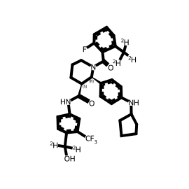 [2H]C([2H])([2H])c1cccc(F)c1C(=O)N1CCC[C@H](C(=O)Nc2ccc(C([2H])([2H])O)c(C(F)(F)F)c2)[C@@H]1c1ccc(NC2CCCC2)cc1